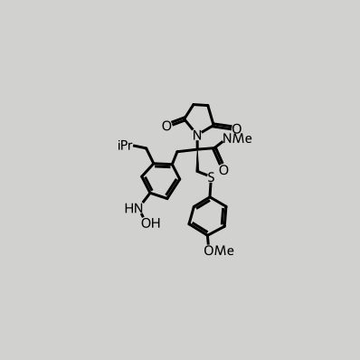 CNC(=O)[C@](CSc1ccc(OC)cc1)(Cc1ccc(NO)cc1CC(C)C)N1C(=O)CCC1=O